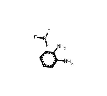 FB(F)F.Nc1ccccc1N